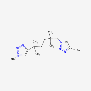 CC(C)(CCC(C)(C)c1cn(C(C)(C)C)nn1)Cn1cc(C(C)(C)C)nn1